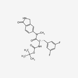 CN(C(=O)[C@H](Cc1cc(F)cc(F)c1)NC(=O)OC(C)(C)C)c1ccc2c(c1)CNC2=O